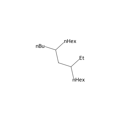 CCCCCCC(CC)CC(CCCC)CCCCCC